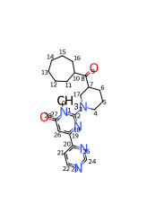 Cn1c(N2CCCC(C(=O)C3CCCCCC3)C2)nc(-c2ccncn2)cc1=O